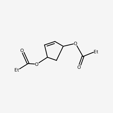 CCC(=O)OC1C=CC(OC(=O)CC)C1